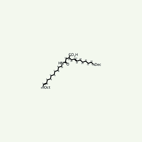 CCCCCCCC/C=C/CCCCCCCCNC(=O)CC(C/C=C/CCCCCCCCCCCCCCC)C(=O)O